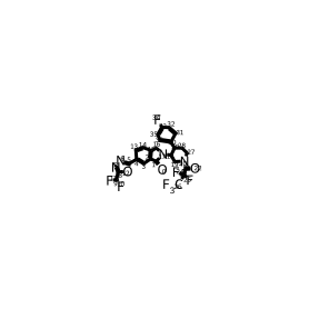 O=C1c2cc(-c3nnc(C(F)F)o3)ccc2CN1C1CN(C(=O)C(F)(F)C(F)(F)F)CCC1c1ccc(F)cc1